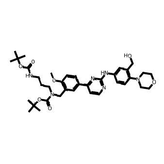 COc1ccc(-c2ccnc(Nc3ccc(N4CCOCC4)c(CO)c3)n2)cc1CN(CCCNC(=O)OC(C)(C)C)C(=O)OC(C)(C)C